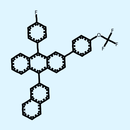 Fc1ccc(-c2c3ccccc3c(-c3ccc4ccccc4c3)c3ccc(-c4ccc(OC(F)(F)F)cc4)cc23)cc1